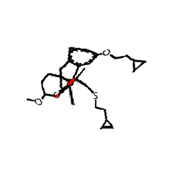 COC1CCC2(CC1)Cc1ccc(OCCC3CC3)cc1C21N=C(SCCC2CC2)N(C)C1=O